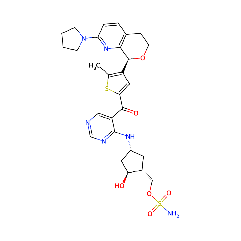 Cc1sc(C(=O)c2cncnc2N[C@@H]2C[C@H](COS(N)(=O)=O)[C@@H](O)C2)cc1[C@@H]1OCCc2ccc(N3CCCC3)nc21